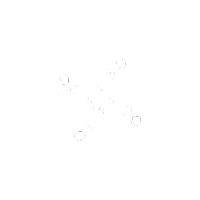 O=C1c2ccccc2C(=O)N1CCCN1CCN(CCCN2C(=O)c3ccccc3C2=O)CCN(CCCN2C(=O)c3ccccc3C2=O)CCN(CCCN2C(=O)c3ccccc3C2=O)CC1